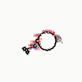 CC1O[C@@H](O[C@H]2/C=C/C=C/C=C/C=C/C=C/C=C/C=C/[C@H](C)[C@@H](O)[C@@H](C)[C@H](C)OC(=O)C[C@H](O)C[C@H](O)C[C@H](O)CC[C@@H](O)[C@H](O)C[C@]3(O)C[C@H](O)[C@@H](C)[C@H](C2)O3)C(O)[C@H](NC(=O)OCC2c3ccccc3-c3ccccc32)[C@@H]1O